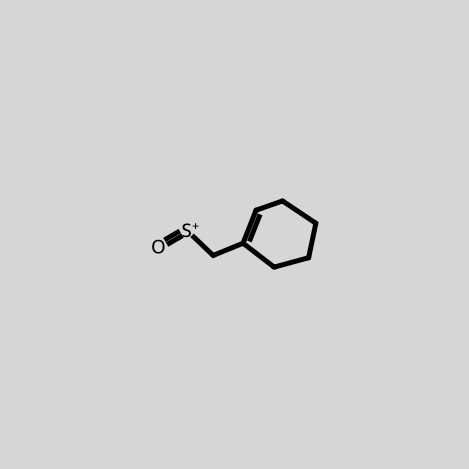 O=[S+]CC1=CCCCC1